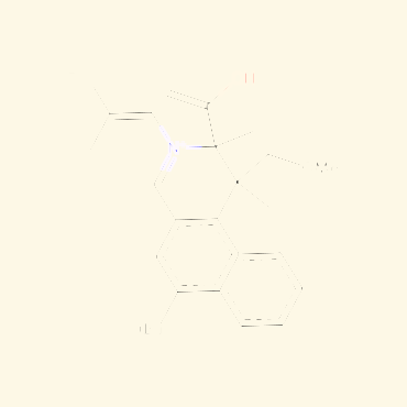 C=C(O)C1(C)[N+](/C=C(\C)C(F)(F)F)=Cc2cc(C(C)(C)C)c3ccccc3c2C1(C)COC